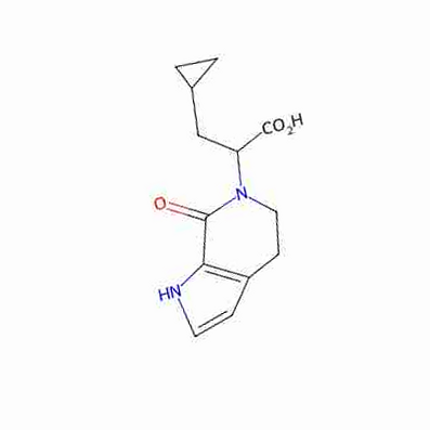 O=C(O)C(CC1CC1)N1CCc2cc[nH]c2C1=O